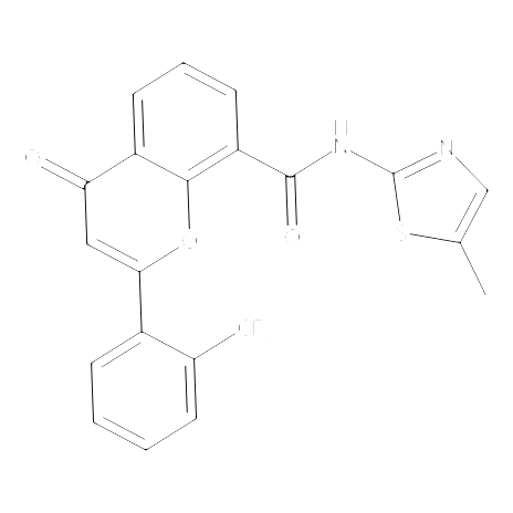 Cc1cnc(NC(=O)c2cccc3c(=O)cc(-c4ccccc4C(F)(F)F)oc23)s1